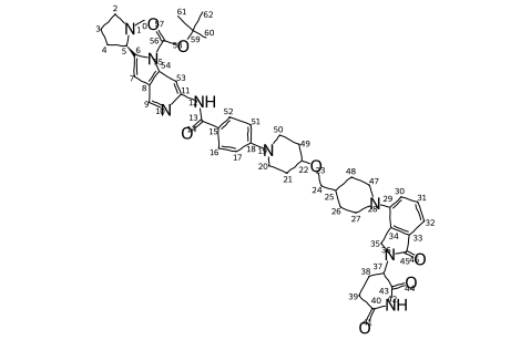 CN1CCC[C@@H]1c1cc2cnc(NC(=O)c3ccc(N4CCC(OCC5CCN(c6cccc7c6CN(C6CCC(=O)NC6=O)C7=O)CC5)CC4)cc3)cc2n1C(=O)OC(C)(C)C